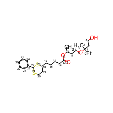 CCC(C)(CCO)OCCC(C)OC(=O)CCCCC1CCSC(c2ccccc2)S1